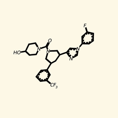 O=C(N1CCC(O)CC1)N1CC(c2cccc(C(F)(F)F)c2)CC(c2cn(-c3cccc(F)c3)cn2)C1